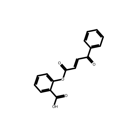 O=C(/C=C/C(=O)c1ccccc1)Oc1ccccc1C(=O)O